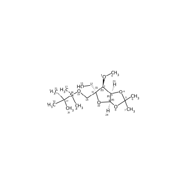 CO[C@H]1[C@H]2OC(C)(C)O[C@H]2O[C@@]1(CO)CO[Si](C)(C)C(C)(C)C